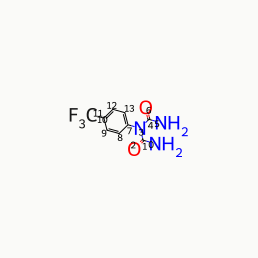 NC(=O)N(C(N)=O)c1ccc(C(F)(F)F)cc1